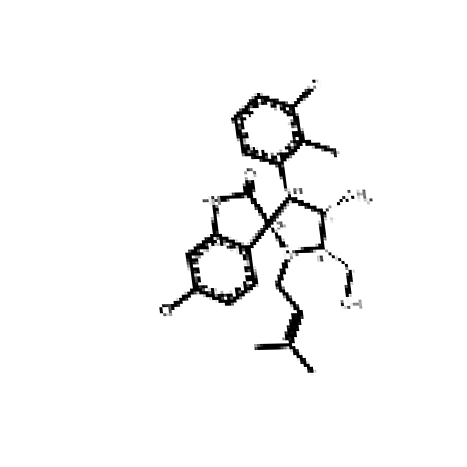 CC(C)=CCN1[C@@H](CO)[C@@H](N)[C@H](c2cccc(Cl)c2F)[C@]12C(=O)Nc1cc(Cl)ccc12